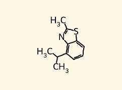 Cc1nc2c(C(C)C)cccc2s1